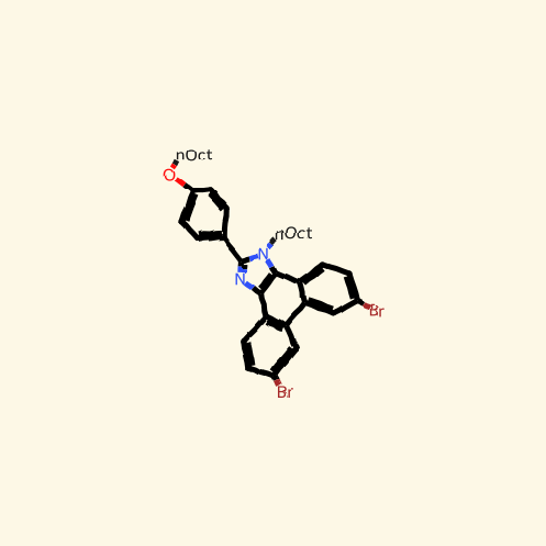 CCCCCCCCOc1ccc(-c2nc3c4ccc(Br)cc4c4cc(Br)ccc4c3n2CCCCCCCC)cc1